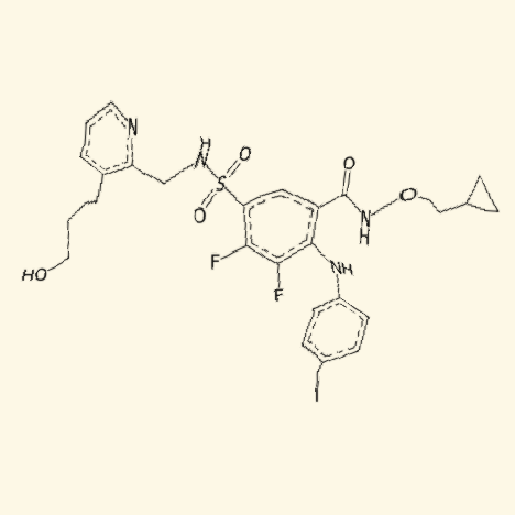 O=C(NOCC1CC1)c1cc(S(=O)(=O)NCc2ncccc2CCCO)c(F)c(F)c1Nc1ccc(I)cc1